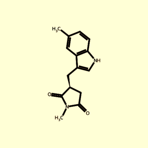 Cc1ccc2[nH]cc(C[C@H]3CC(=O)N(C)C3=O)c2c1